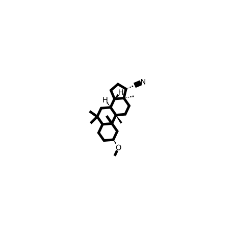 CO[C@@H]1CCC2C(C)(C)C[C@H]3[C@@H]4CC[C@H](C#N)[C@@]4(C)CC[C@]3(C)C2(C)C1